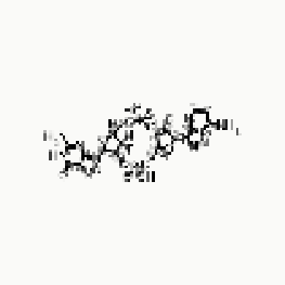 Nc1nc2c(nnn2[C@@H]2O[C@@H]3COP(O)(=S)O[C@H]4[C@H](F)[C@H](n5nnc6c(N)ccnc65)O[C@@H]4COP(O)(=S)O[C@@H]2[C@H]3F)c(=O)[nH]1